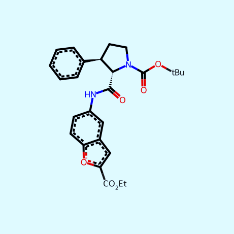 CCOC(=O)c1cc2cc(NC(=O)[C@@H]3[C@@H](c4ccccc4)CCN3C(=O)OC(C)(C)C)ccc2o1